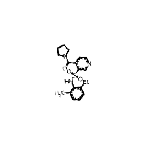 CCc1cccc(C)c1NS(=O)(=O)c1cnccc1C(=O)N1CCCC1